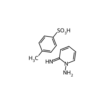 Cc1ccc(S(=O)(=O)O)cc1.N=c1ccccn1N